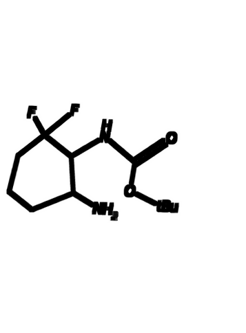 CC(C)(C)OC(=O)NC1C(N)CCCC1(F)F